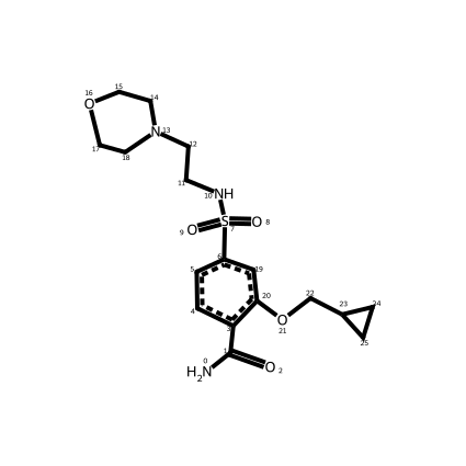 NC(=O)c1ccc(S(=O)(=O)NCCN2CCOCC2)cc1OCC1CC1